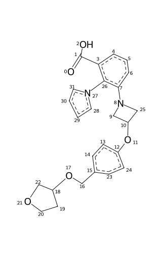 O=C(O)c1cccc(N2CC(Oc3ccc(COC4CCOC4)cc3)C2)c1-n1cccc1